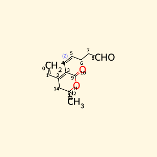 C=CC1=C(/C=C\CCC=O)C(=O)O[C@@H](C)C1